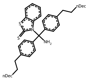 CCCCCCCCCCCCc1ccc(C(N)(c2ccc(CCCCCCCCCCCC)cc2)n2c(=S)sc3ccccc32)cc1